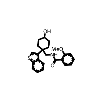 COc1ccccc1C(=O)NCC1(c2csc3ccccc23)CCC(O)CC1